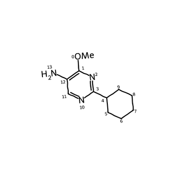 COc1nc(C2CCCCC2)ncc1N